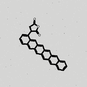 O=C1CC(c2cccc3cc4cc5cc6cc7ccccc7cc6cc5cc4cc23)C(=O)O1